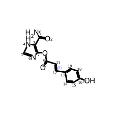 NC(=O)c1[nH]cnc1OC(=O)/C=C/c1ccc(O)cc1